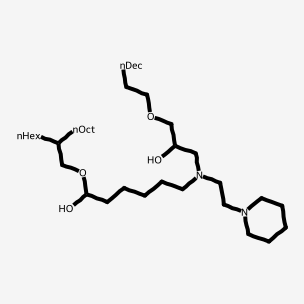 CCCCCCCCCCCCOCC(O)CN(CCCCCC(O)OCC(CCCCCC)CCCCCCCC)CCN1CCCCC1